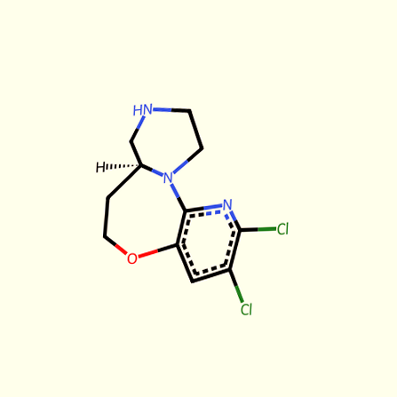 Clc1cc2c(nc1Cl)N1CCNC[C@@H]1CCO2